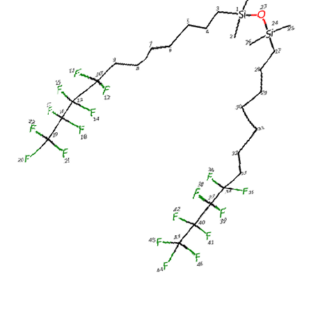 C[Si](C)(CCCCCCCC(F)(F)C(F)(F)C(F)(F)C(F)(F)F)O[Si](C)(C)CCCCCCCC(F)(F)C(F)(F)C(F)(F)C(F)(F)F